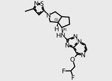 Cc1cc(N2CC3CC[C@@H](Nc4nc5c(OCC(F)F)nccn5n4)[C@@H]3C2)sn1